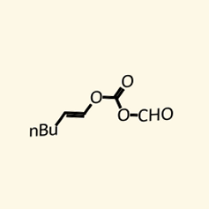 CCCCC=COC(=O)OC=O